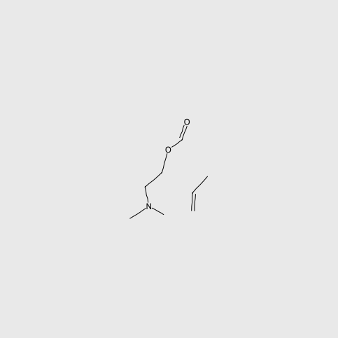 C=CC.CN(C)CCOC=O